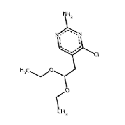 CCOC(Cc1cnc(N)nc1Cl)OCC